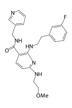 COCCNc1ccc(C(=O)NCc2cccnc2)c(NCCc2cccc(F)c2)n1